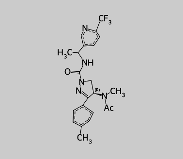 CC(=O)N(C)[C@@H]1CN(C(=O)NC(C)c2ccc(C(F)(F)F)nc2)N=C1c1ccc(C)cc1